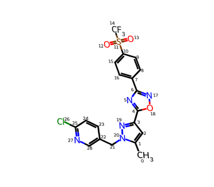 Cc1cc(-c2nc(-c3ccc(S(=O)(=O)C(F)(F)F)cc3)no2)nn1Cc1ccc(Cl)nc1